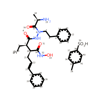 CC(C)C[C@@H](C(=O)NN(CCc1ccccc1)C(=O)[C@@H](C)N)[C@H](CC=Cc1ccccc1)C(=O)NO.Cc1ccc(S(=O)(=O)O)cc1